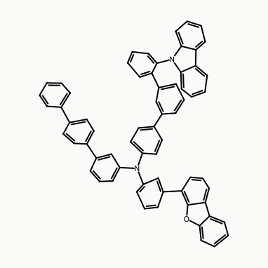 c1ccc(-c2ccc(-c3cccc(N(c4ccc(-c5cccc(-c6ccccc6-n6c7ccccc7c7ccccc76)c5)cc4)c4cccc(-c5cccc6c5oc5ccccc56)c4)c3)cc2)cc1